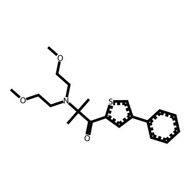 COCCN(CCOC)C(C)(C)C(=O)c1cc(-c2ccccc2)cs1